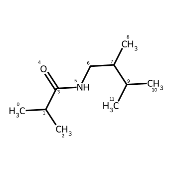 CC(C)C(=O)NCC(C)C(C)C